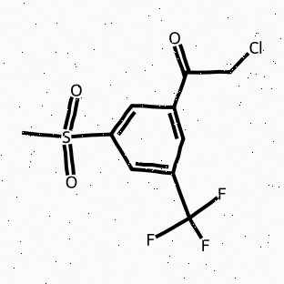 CS(=O)(=O)c1cc(C(=O)CCl)cc(C(F)(F)F)c1